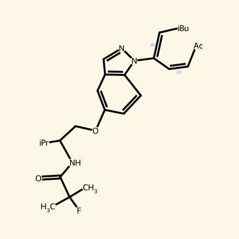 CCC(C)/C=C(\C=C/C(C)=O)n1ncc2cc(OCC(NC(=O)C(C)(C)F)C(C)C)ccc21